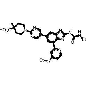 CCNC(=O)Nc1nc2cc(-c3cnc(N4CCC(C)(C(=O)O)CC4)nc3)cc(-c3cc(OCC)ccn3)c2s1